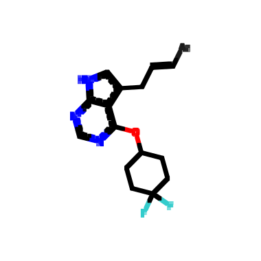 CC(=O)/C=C/Cc1c[nH]c2ncnc(OC3CCC(F)(F)CC3)c12